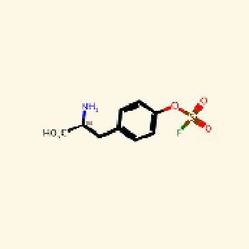 N[C@@H](Cc1ccc(OS(=O)(=O)F)cc1)C(=O)O